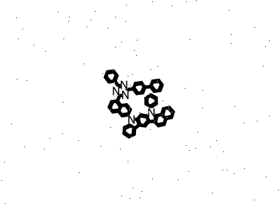 c1ccc(-c2ccc(-c3nc(-c4ccccc4)nc(-c4cccc5cc(-n6c7ccccc7c7cc8c9ccc%10ccccc%10c9n(-c9ccccc9)c8cc76)ccc45)n3)cc2)cc1